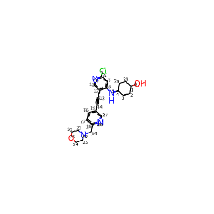 OC1CCC(Nc2cc(Cl)ncc2C#Cc2ccc(CN3CCOCC3)nc2)CC1